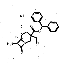 Cl.NC1C(=O)N2CC(CCl)(C(=O)OC(c3ccccc3)c3ccccc3)CS[C@H]12